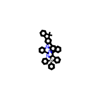 CC1(C)c2ccccc2-c2cc3c(cc21)c1ccccc1n3-c1ccccc1-c1nc(-c2ccccc2)c2c(n1)[Si](c1ccccc1)(c1ccccc1)c1ccccc1-2